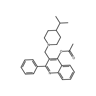 CC(=O)Oc1c(CN2CCC(C(C)C)CC2)c(-c2ccccc2)nc2ccccc12